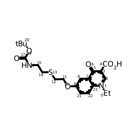 CCn1cc(C(=O)O)c(=O)c2cc(OCCSCCNC(=O)OC(C)(C)C)ccc21